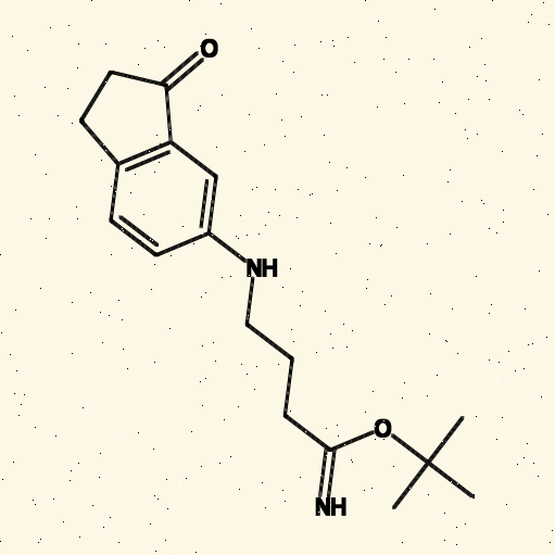 CC(C)(C)OC(=N)CCCNc1ccc2c(c1)C(=O)CC2